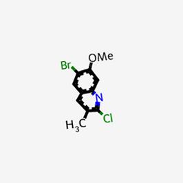 COc1cc2nc(Cl)c(C)cc2cc1Br